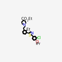 CCOC(=O)C1CCN(CCc2cccc(-c3cnc(-c4ccc(OC(C)C)c(Cl)c4)s3)c2CC)CC1